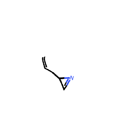 C=CC1C=N1